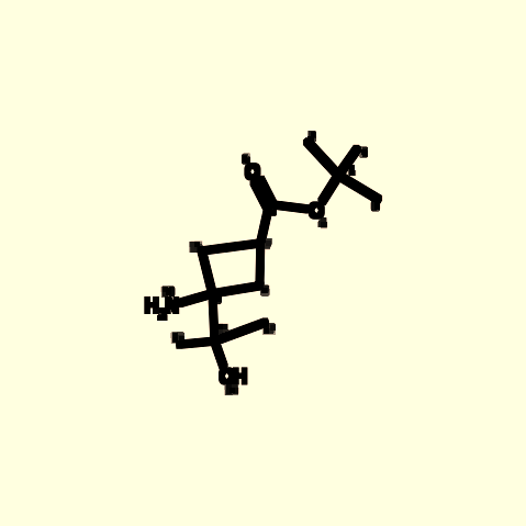 CC(C)(C)OC(=O)C1CC(N)(C(C)(C)O)C1